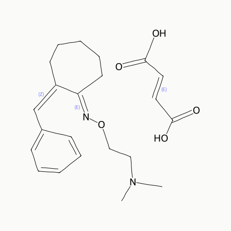 CN(C)CCO/N=C1\CCCCC\C1=C\c1ccccc1.O=C(O)/C=C/C(=O)O